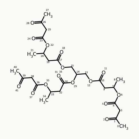 CC(=O)CC(=O)OC(C)CC(=O)OCC(COC(=O)CC(C)OC(=O)CC(C)=O)OC(=O)CC(C)OC(=O)CC(C)=O